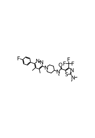 Cc1c(-c2ccc(F)cc2)nnc(N2CCC(N(C)C(=O)c3sc(N(C)C)nc3C(F)(F)F)CC2)c1C